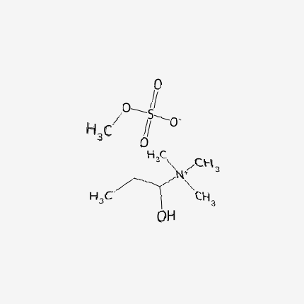 CCC(O)[N+](C)(C)C.COS(=O)(=O)[O-]